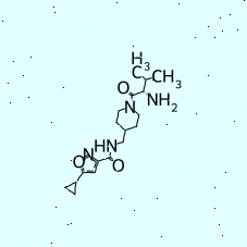 CC(C)[C@H](N)C(=O)N1CCC(CNC(=O)c2cc(C3CC3)on2)CC1